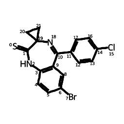 S=C1Nc2ccc(Br)cc2C(c2ccc(Cl)cc2)=NC12CC2